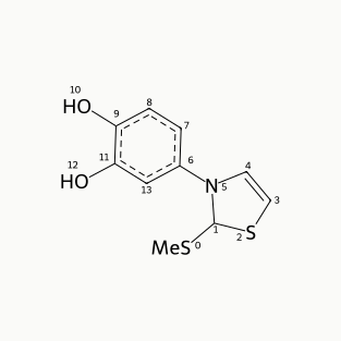 CSC1SC=CN1c1ccc(O)c(O)c1